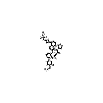 CC#CC(=O)N[C@@H]1COC[C@H]1c1ccc(N2CC(CS(C)(=O)=O)C2)c2cnc(Nc3ccnc(N4CC[C@@H](OC)[C@@H](F)C4)n3)cc12